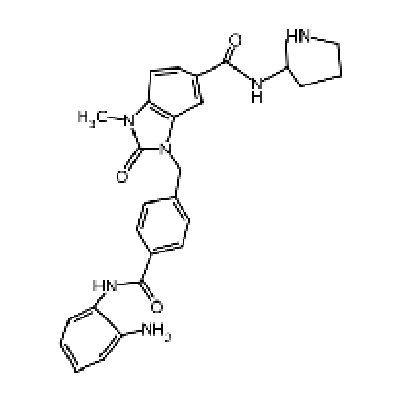 Cn1c(=O)n(Cc2ccc(C(=O)Nc3ccccc3N)cc2)c2cc(C(=O)NC3CCCNC3)ccc21